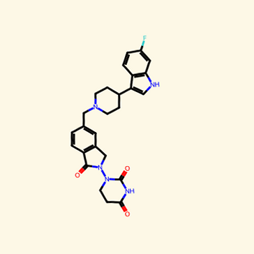 O=C1CCN(N2Cc3cc(CN4CCC(c5c[nH]c6cc(F)ccc56)CC4)ccc3C2=O)C(=O)N1